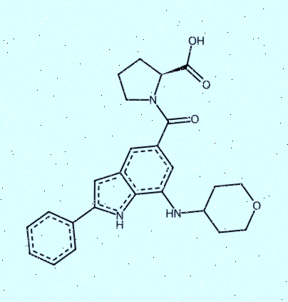 O=C(O)[C@@H]1CCCN1C(=O)c1cc(NC2CCOCC2)c2[nH]c(-c3ccccc3)cc2c1